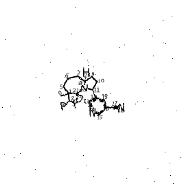 CC1(C(F)F)CCC[C@H]2CC[C@@H](c3cncc(C#N)c3)N2C1=O